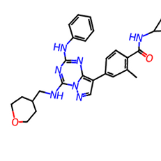 Cc1cc(-c2cnn3c(NCC4CCOCC4)nc(Nc4ccccc4)nc23)ccc1C(=O)NC1CC1